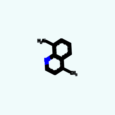 Cc1ccnc2[c]([AlH2])cccc12